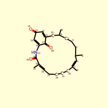 CC1=CC(C)CCCC(C)CC2=CC(=O)C=C(NC(=O)C(C)=CCCC[CH]1)C2=O